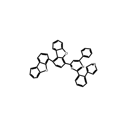 c1ccc(-c2cc(-c3ccc(-c4cccc5c4oc4ccccc45)c4c3oc3ccccc34)nc(-c3ccccc3-c3ccncc3)n2)cc1